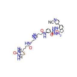 N#Cc1cc(-c2ccc3c(c2NC(=O)N=S(N)(=O)c2cccc(NC(=O)CCc4cn(CCCNC(=O)CCCC5SC[C@@H]6NC(=O)N[C@H]56)nn4)c2)CCC3)ccn1